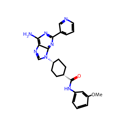 COc1cccc(NC(=O)[C@H]2CC[C@@H](n3cnc4c(N)nc(-c5cccnc5)nc43)CC2)c1